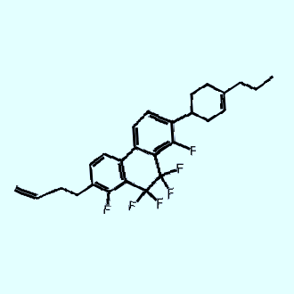 C=CCCc1ccc2c(c1F)C(F)(F)C(F)(F)c1c-2ccc(C2CC=C(CCC)CC2)c1F